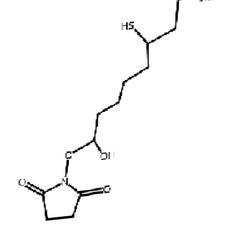 CSCCC(S)CCCCC(O)ON1C(=O)CCC1=O